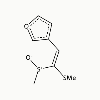 CSC(=Cc1ccoc1)[S+](C)[O-]